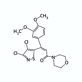 COc1ccc(/C(=C/C(=O)N2CCOCC2)c2snc(Cl)c2Cl)cc1OC